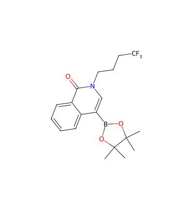 CC1(C)OB(c2cn(CCCC(F)(F)F)c(=O)c3ccccc23)OC1(C)C